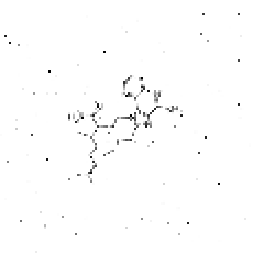 CCCCc1nc2c(N)nc3cccnc3c2n1CCC(C(N)=O)C(C)CCC=C(C)C